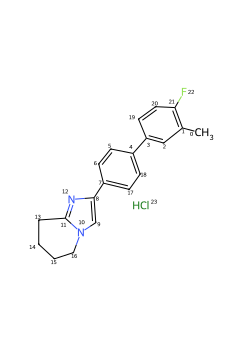 Cc1cc(-c2ccc(-c3cn4c(n3)CCCC4)cc2)ccc1F.Cl